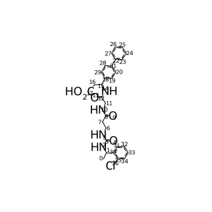 CC(NC(=O)NCCC(=O)NCC(=O)NC(CC(=O)O)c1ccc(-c2ccccc2)cc1)c1ccccc1Cl